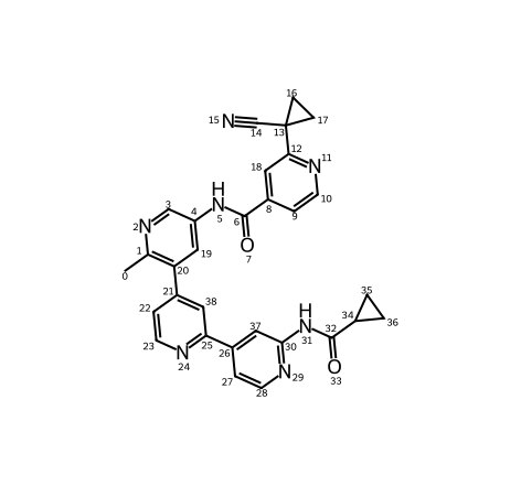 Cc1ncc(NC(=O)c2ccnc(C3(C#N)CC3)c2)cc1-c1ccnc(-c2ccnc(NC(=O)C3CC3)c2)c1